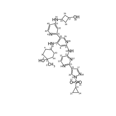 CC1(O)CCC(Nc2cc(Nc3ccnc(-c4cnn(S(=O)(=O)C5CC5)c4)n3)ncc2-c2cc(NC3CC(O)C3)ccn2)CC1